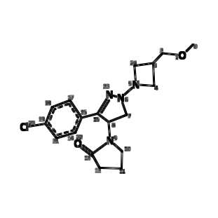 COCC1CN(N2CC(N3CCCC3=O)C(c3ccc(Cl)cc3)=N2)C1